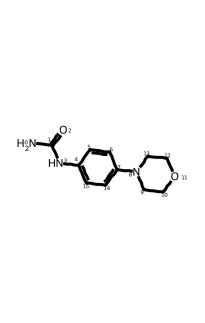 NC(=O)Nc1ccc(N2CCOCC2)cc1